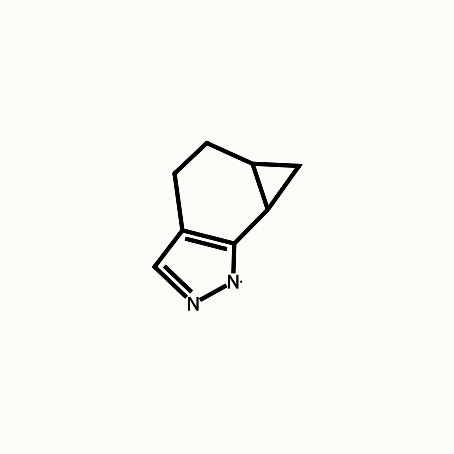 C1=N[N]C2=C1CCC1CC21